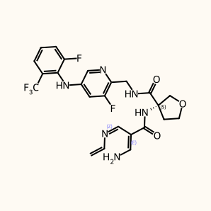 C=C/N=C\C(=C/N)C(=O)N[C@@]1(C(=O)NCc2ncc(Nc3c(F)cccc3C(F)(F)F)cc2F)CCOC1